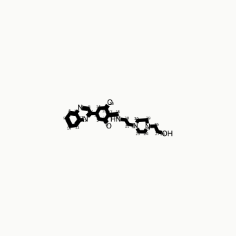 O=C1CC(c2cnc3ccccc3n2)CC(=O)C1=CNCCN1CCN(CCO)CC1